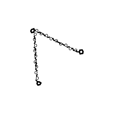 c1ccc(COCCOCCOCCOCCOCCOCCOCCOCCOc2ccccc2OCCOCCOCCOCCOCCOCCOCCOCCOCc2ccccc2)cc1